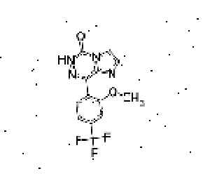 COc1cc(C(F)(F)F)ccc1-c1n[nH]c(=O)n2ccnc12